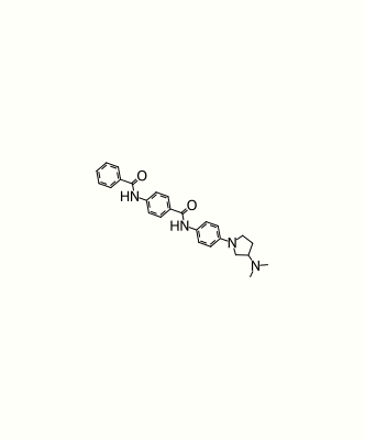 CN(C)C1CCN(c2ccc(NC(=O)c3ccc(NC(=O)c4ccccc4)cc3)cc2)C1